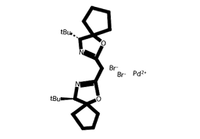 CC(C)(C)[C@H]1N=C(CC2=N[C@H](C(C)(C)C)C3(CCCC3)O2)OC12CCCC2.[Br-].[Br-].[Pd+2]